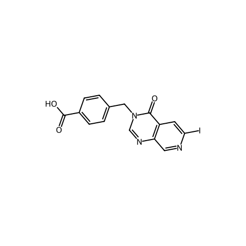 O=C(O)c1ccc(Cn2cnc3cnc(I)cc3c2=O)cc1